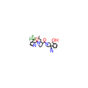 CCCC1C(C(=O)N2CCC(C#N)(c3ccccc3CO)CC2)CCCN1C(=O)c1ncccc1C(F)(F)F